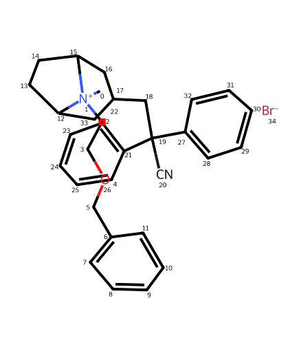 C[N+]1(CCOCc2ccccc2)C2CCC1CC(CC(C#N)(c1ccccc1)c1ccccc1)C2.[Br-]